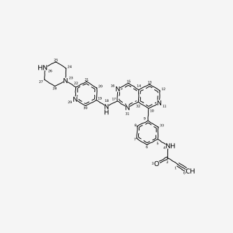 C#CC(=O)Nc1cccc(-c2nccc3cnc(Nc4ccc(N5CCNCC5)nc4)nc23)c1